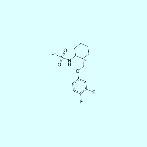 CCS(=O)(=O)NC1CCCC[C@@H]1COc1ccc(F)c(F)c1